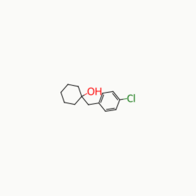 OC1(Cc2ccc(Cl)cc2)CCCCC1